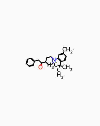 [CH2]c1ccc(C(C)(C)C)c(N2CCC(C(=O)Cc3ccccc3)CC2)c1